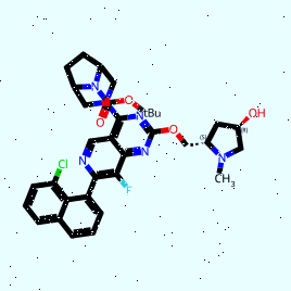 CN1C[C@H](O)C[C@H]1COc1nc(N2CC3CCC(C2)N3C(=O)OC(C)(C)C)c2cnc(-c3cccc4cccc(Cl)c34)c(F)c2n1